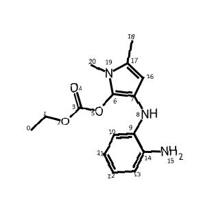 CCOC(=O)Oc1c(Nc2ccccc2N)cc(C)n1C